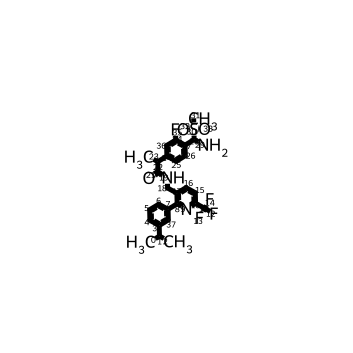 CC(C)c1cccc(-c2nc(C(F)(F)F)ccc2CNC(=O)C(C)c2ccc(C(N)S(C)(=O)=O)c(F)c2)c1